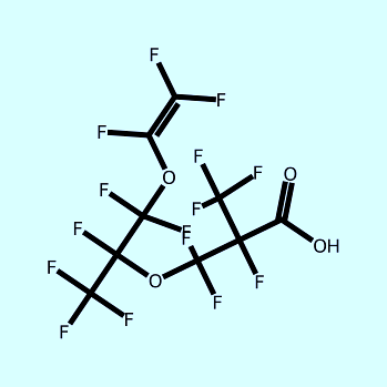 O=C(O)C(F)(C(F)(F)F)C(F)(F)OC(F)(C(F)(F)F)C(F)(F)OC(F)=C(F)F